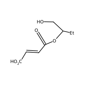 CCC(CO)OC(=O)C=CC(=O)O